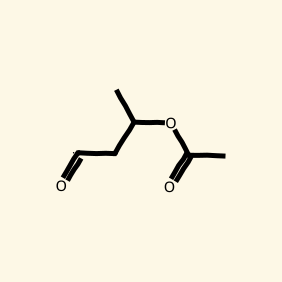 CC(=O)OC(C)C[C]=O